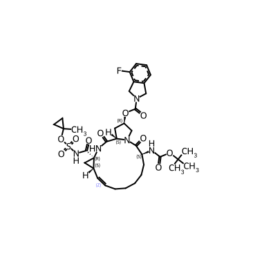 CC(C)(C)OC(=O)N[C@H]1CCCCC/C=C\[C@@H]2C[C@@]2(C(=O)NS(=O)(=O)OC2(C)CC2)NC(=O)[C@@H]2C[C@@H](OC(=O)N3Cc4cccc(F)c4C3)CN2C1=O